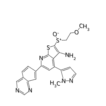 COCC[S+]([O-])c1sc2nc(-c3ccc4cncnc4c3)cc(-c3ccnn3C)c2c1N